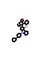 c1ccc(-c2ccc(-n3c4ccccc4c4c5c(ccc43)C3(c4ccccc4O5)c4ccccc4-c4ccccc43)cc2)cc1